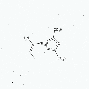 CC=C(N)N.O=C(O)c1ccc(C(=O)O)o1